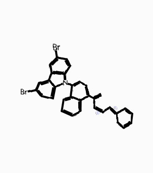 C=C(/C=C\C=C1\C=CC=CC1)c1ccc(-n2c3ccc(Br)cc3c3cc(Br)ccc32)c2ccccc12